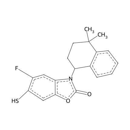 CC1(C)CCC(n2c(=O)oc3cc(S)c(F)cc32)c2ccccc21